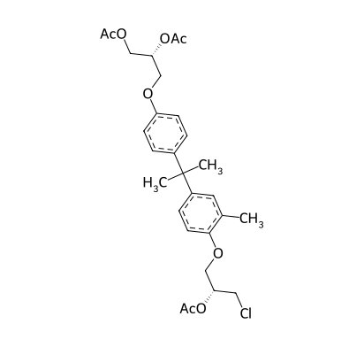 CC(=O)OC[C@@H](COc1ccc(C(C)(C)c2ccc(OC[C@H](CCl)OC(C)=O)c(C)c2)cc1)OC(C)=O